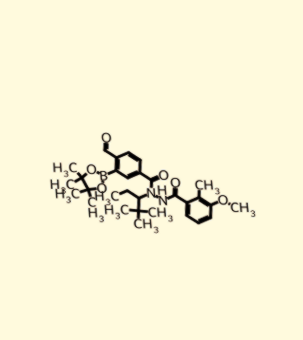 CCC(N(NC(=O)c1cccc(OC)c1C)C(=O)c1ccc(C=O)c(B2OC(C)(C)C(C)(C)O2)c1)C(C)(C)C